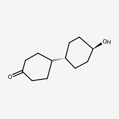 O=C1CCC([C@H]2CC[C@H](O)CC2)CC1